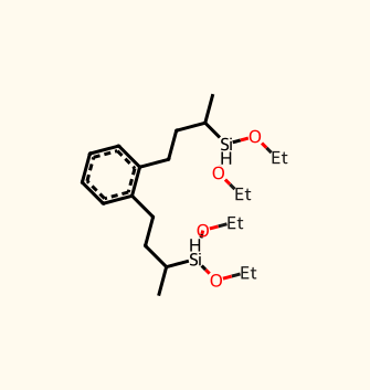 CCO[SiH](OCC)C(C)CCc1ccccc1CCC(C)[SiH](OCC)OCC